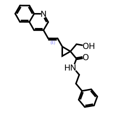 O=C(NCCc1ccccc1)C1(CO)CC1/C=C/c1cnc2ccccc2c1